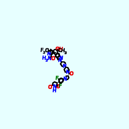 CC(C)(O)c1cc2nn(C3CCN(C4CCN(C(=O)[C@@H]5CCN(c6cc(F)c([C@H]7CCC(=O)NC7=O)c(F)c6)C5)CC4)CC3)cc2cc1-c1ccc(C(F)(F)F)nc1C(N)=O